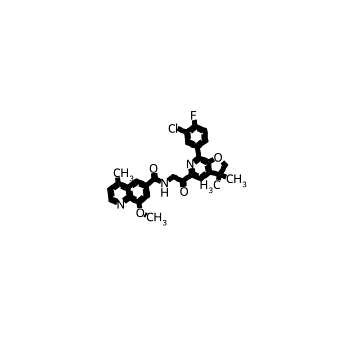 COc1cc(C(=O)NCC(=O)c2cc3c(c(-c4ccc(F)c(Cl)c4)n2)OCC3(C)C)cc2c(C)ccnc12